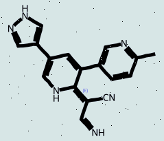 Cc1ccc(C2=CC(c3cn[nH]c3)=CN/C2=C(/C#N)C=N)cn1